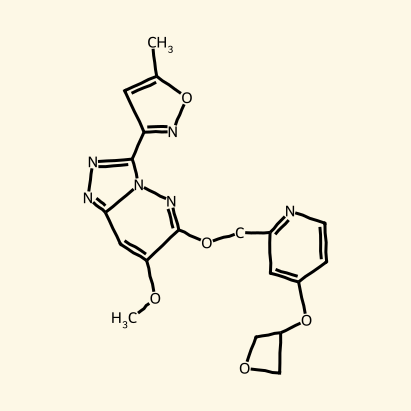 COc1cc2nnc(-c3cc(C)on3)n2nc1OCc1cc(OC2COC2)ccn1